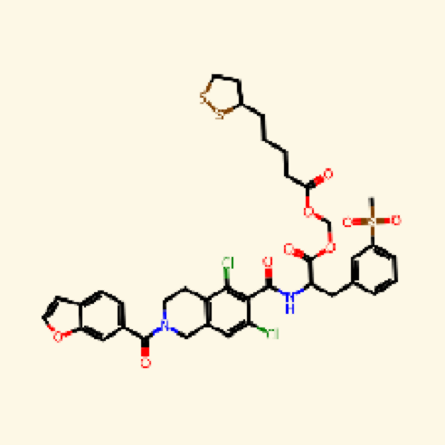 CS(=O)(=O)c1cccc(CC(NC(=O)c2c(Cl)cc3c(c2Cl)CCN(C(=O)c2ccc4ccoc4c2)C3)C(=O)OCOC(=O)CCCCC2CCSS2)c1